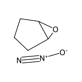 C1CC2OC2C1.N#[N+][O-]